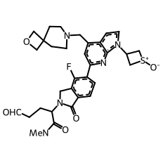 CNC(=O)C(CCC=O)N1Cc2c(ccc(-c3cc(CN4CCC5(CC4)COC5)c4ccn(C5C[S+]([O-])C5)c4n3)c2F)C1=O